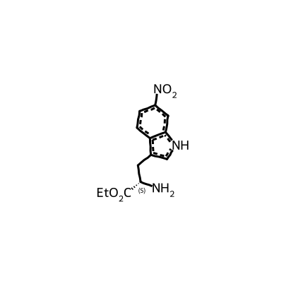 CCOC(=O)[C@@H](N)Cc1c[nH]c2cc([N+](=O)[O-])ccc12